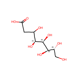 O=C(O)CC(O)[C@H](O)[C@@H](O)[C@H](O)[C@H](O)CO